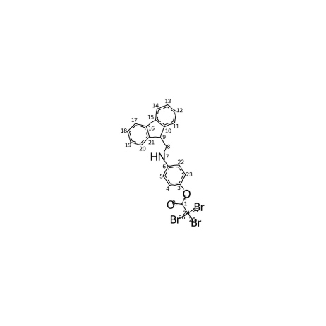 O=C(Oc1ccc(NCC2c3ccccc3-c3ccccc32)cc1)C(Br)(Br)Br